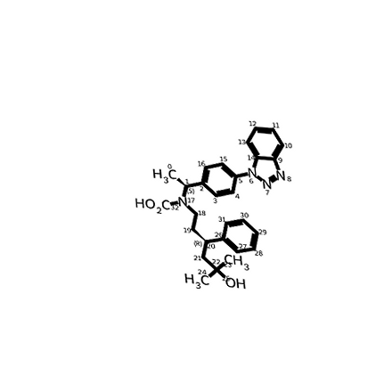 C[C@@H](c1ccc(-n2nnc3ccccc32)cc1)N(CC[C@H](CC(C)(C)O)c1ccccc1)C(=O)O